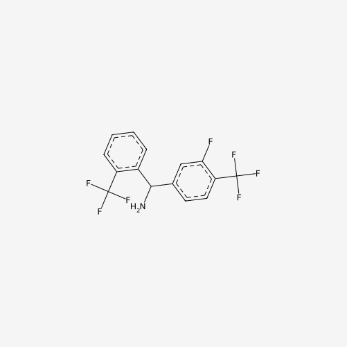 NC(c1ccc(C(F)(F)F)c(F)c1)c1ccccc1C(F)(F)F